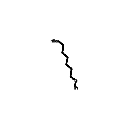 CCCCCCCCCCCCOC(C)C